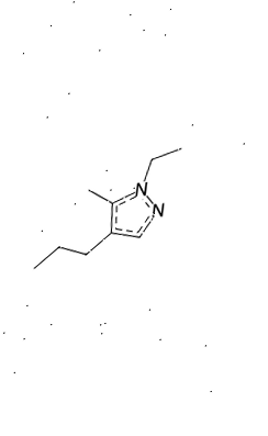 CCCc1cnn(CC)c1C